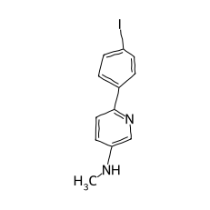 CNc1ccc(-c2ccc(I)cc2)nc1